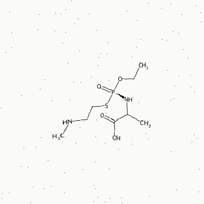 CCO[P@](=O)(NC(C)C(=O)O)SCCNC